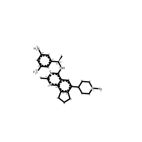 CC(=O)N1CCC(c2cc3c(N[C@H](C)c4cc(N)cc(C(F)(F)F)c4)nc(C)nc3c3c2CCC3)CC1